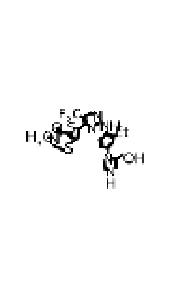 CCc1cc(N2CCNCC2CO)ccc1Nc1ncc(C(F)(F)F)c(-c2cc3c(s2)C(=O)N(C)CCS3)n1